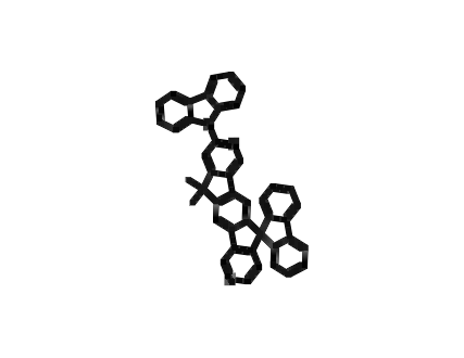 CC1(C)c2cc(-n3c4ccccc4c4ccccc43)ncc2-c2cc3c(cc21)-c1cnccc1C31c2ccccc2-c2ccccc21